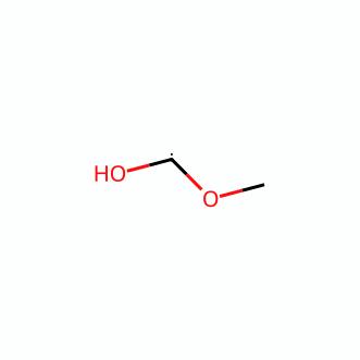 CO[CH]O